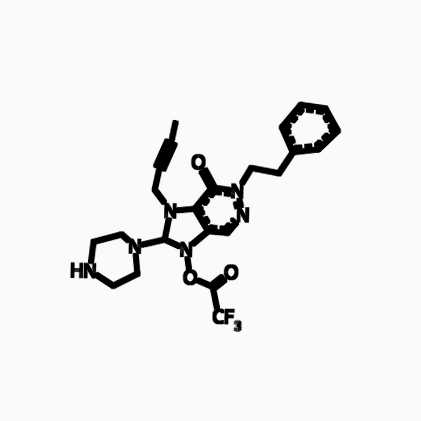 CC#CCN1c2c(cnn(CCc3ccccc3)c2=O)N(OC(=O)C(F)(F)F)C1N1CCNCC1